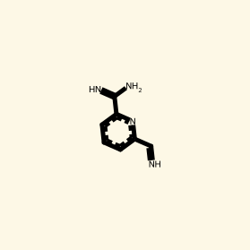 N=Cc1cccc(C(=N)N)n1